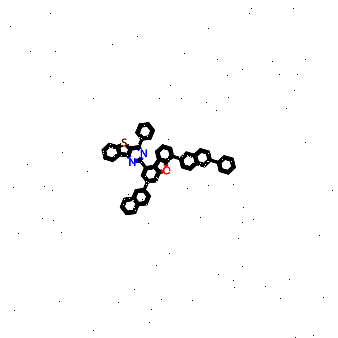 c1ccc(-c2ccc3cc(-c4cccc5c4oc4cc(-c6ccc7ccccc7c6)cc(-c6nc(-c7ccccc7)c7sc8ccccc8c7n6)c45)ccc3c2)cc1